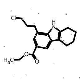 CCOC(=O)c1cc(CCCCl)c2[nH]c3c(c2c1)CCCC3